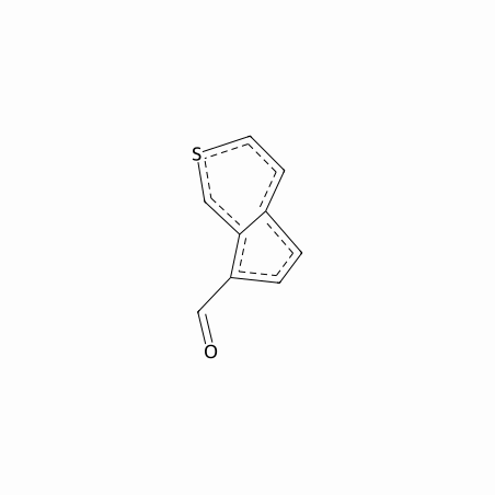 O=Cc1ccc2ccscc1-2